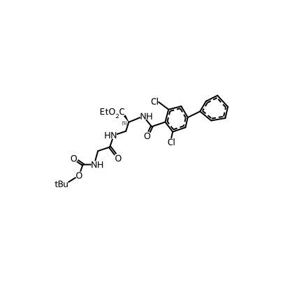 CCOC(=O)[C@H](CNC(=O)CNC(=O)OC(C)(C)C)NC(=O)c1c(Cl)cc(-c2ccccc2)cc1Cl